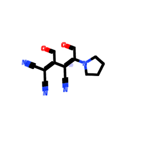 N#CC(C#N)=C(C=O)/C(C#N)=C(\C=O)N1CCCC1